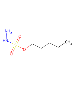 CCCCCOS(=O)(=O)NN